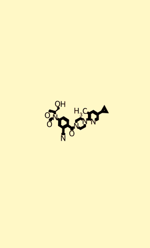 Cc1cc(C2CC2)cnc1N1CCN(C(=O)c2ccc(N3C(=O)OC[C@H]3CO)cc2C#N)CC1